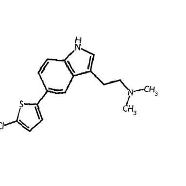 CN(C)CCc1c[nH]c2ccc(-c3ccc(Cl)s3)cc12